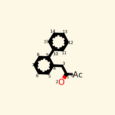 CC(=O)C(=O)Cc1ccccc1-c1ccccc1